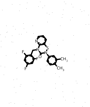 Cc1ccc(N2Sc3cccnc3N(Cc3c(F)cc(F)cc3F)C2=O)cc1C